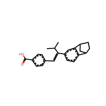 CC(C)C(=Cc1ccc(C(=O)O)cc1)c1ccc2c(c1)C1CCC2C1